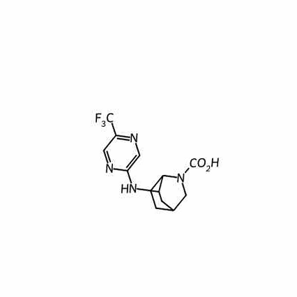 O=C(O)N1CC2CCC1C(Nc1cnc(C(F)(F)F)cn1)C2